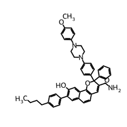 CCCCc1ccc(-c2cc3ccc4c(c3cc2O)OC(c2ccccc2)(c2ccc(N3CCN(c5ccc(OC)cc5)CC3)cc2)C(C(N)=O)=C4)cc1